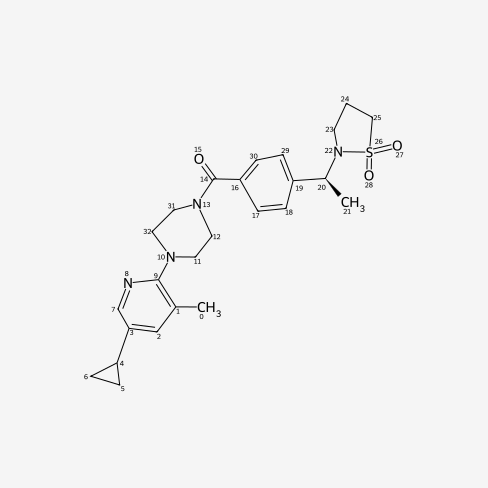 Cc1cc(C2CC2)cnc1N1CCN(C(=O)c2ccc([C@H](C)N3CCCS3(=O)=O)cc2)CC1